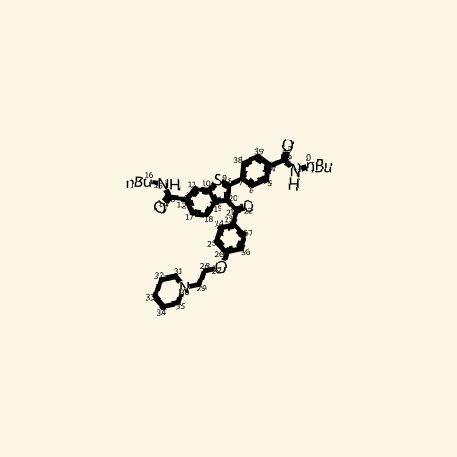 CCCCNC(=O)c1ccc(-c2sc3cc(C(=O)NCCCC)ccc3c2C(=O)c2ccc(OCCN3CCCCC3)cc2)cc1